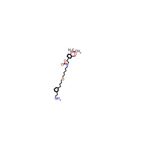 CC1(C)OCc2cc(C3CN(CCCCCCOCCCCc4cccc(CCN)c4)C(=O)O3)ccc2O1